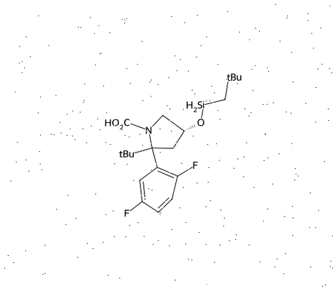 CC(C)(C)C[SiH2]O[C@H]1CN(C(=O)O)C(c2cc(F)ccc2F)(C(C)(C)C)C1